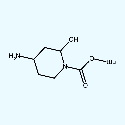 CC(C)(C)OC(=O)N1CCC(N)CC1O